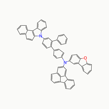 c1ccc(-c2cc(-n3c4ccccc4c4c5ccccc5ccc43)ccc2-c2ccc(N(c3cc4c5c(cccc5c3)-c3ccccc3-4)c3ccc4oc5ccccc5c4c3)cc2)cc1